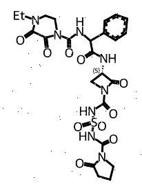 CCN1CCN(C(=O)NC(C(=O)N[C@H]2CN(C(=O)NS(=O)(=O)NC(=O)N3CCCC3=O)C2=O)c2ccccc2)C(=O)C1=O